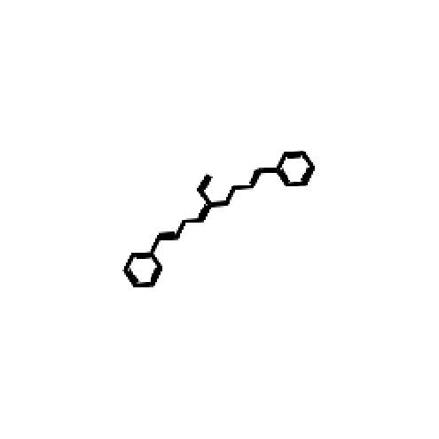 C=CC(=CCC=Cc1ccccc1)CCC=Cc1ccccc1